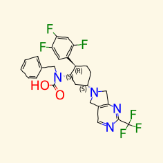 O=C(O)N(Cc1ccccc1)[C@H]1C[C@@H](N2Cc3cnc(C(F)(F)F)nc3C2)CC[C@@H]1c1cc(F)c(F)cc1F